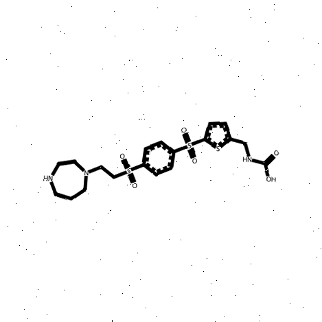 O=C(O)NCc1ccc(S(=O)(=O)c2ccc(S(=O)(=O)CCN3CCCNCC3)cc2)s1